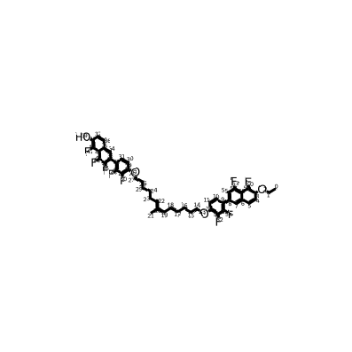 CCOc1ccc2cc(-c3ccc(OCCCCCCC(C)CCCCCCOc4ccc(-c5cc6ccc(O)c(F)c6c(F)c5F)c(F)c4F)c(F)c3F)cc(F)c2c1F